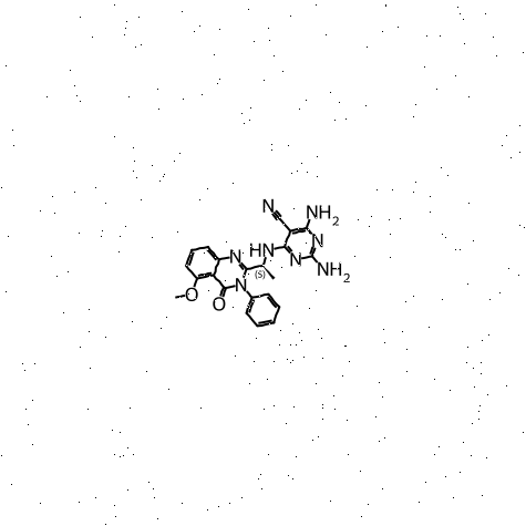 COc1cccc2nc([C@H](C)Nc3nc(N)nc(N)c3C#N)n(-c3ccccc3)c(=O)c12